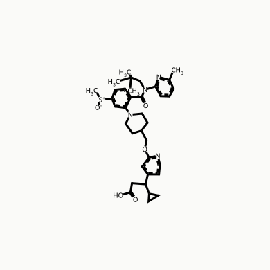 Cc1cccc(N(CC(C)(C)C)C(=O)c2ccc([S+](C)[O-])cc2N2CCC(COc3cc(C(CC(=O)O)C4CC4)ccn3)CC2)n1